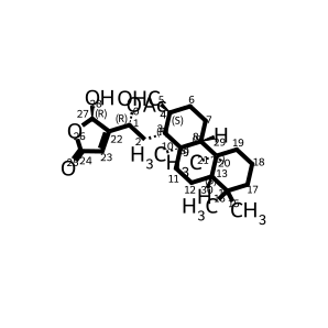 CC(=O)O[C@H](C[C@@H]1[C@@H](C=O)CC[C@H]2[C@@]1(C)CC[C@H]1C(C)(C)CCC[C@]21C)C1=CC(=O)O[C@H]1O